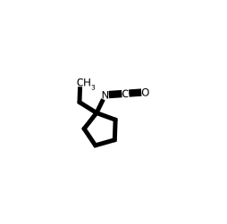 CCC1(N=C=O)CCCC1